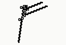 CCCCCCCCCCCCCCCC(=O)OC[C@H](CSC[C@H](NC(=O)CCCCCCCCCCC)C(=O)O)OC(=O)CCCCCCCCCCCCCCC